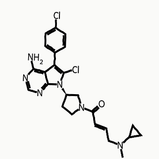 CN(CC=CC(=O)N1CC[C@@H](n2c(Cl)c(-c3ccc(Cl)cc3)c3c(N)ncnc32)C1)C1CC1